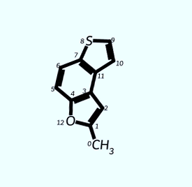 Cc1cc2c(ccc3sccc32)o1